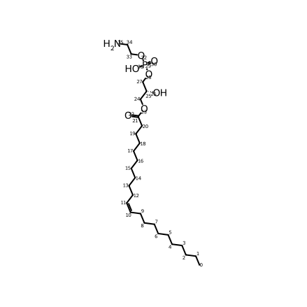 CCCCCCCCCC/C=C\CCCCCCCCCC(=O)OC[C@@H](O)COP(=O)(O)OCCN